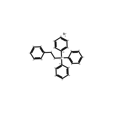 [Br-].c1ccc(CC[P+](c2ccccc2)(c2ccccc2)c2ccccc2)cc1